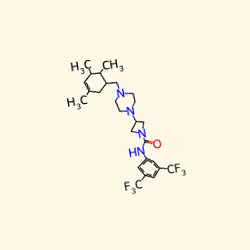 CC1=CC(C)C(C)C(CN2CCN(C3CN(C(=O)Nc4cc(C(F)(F)F)cc(C(F)(F)F)c4)C3)CC2)C1